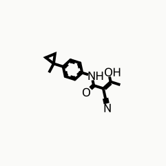 CC(O)=C(C#N)C(=O)Nc1ccc(C2(C)CC2)cc1